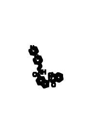 O=C(NCCC1CCN(c2ccncc2)CC1)c1ccc2c(c1)C(NC(=O)c1ccccc1Cl)CC2